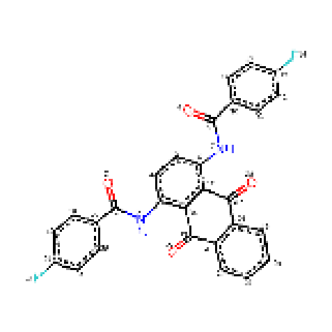 O=C(Nc1ccc(NC(=O)c2ccc(F)cc2)c2c1C(=O)c1ccccc1C2=O)c1ccc(F)cc1